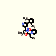 Cc1cccc(C)c1-c1cncc([C@H](CC(=O)O)NC(=O)C(CC(C)C)n2ccccc2=O)c1